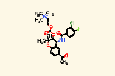 CC(=O)c1ccc2c(c1)[C@H](NC(=O)c1ccc(F)c(Cl)c1)[C@H](OC(=O)OCC[N+](C)(C)C)C(C)(C)O2